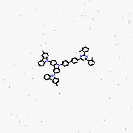 Cc1ccc2c(c1)c1ccccc1n2-c1ccc2c(c1)c1cc(-n3c4ccccc4c4cc(C)ccc43)ccc1n2-c1ccc(-c2ccc(-c3cc(-c4ccccc4C)nc(-c4ccccc4C)n3)cc2)cc1